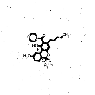 CCCCCc1cc2c(c(O)c1C(=O)N1CCOCC1)[C@@H]1C=C(C)CC[C@H]1C(C)(C)O2